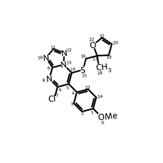 COc1ccc(-c2c(Cl)nc3ncnn3c2SCC2(C)CC=CO2)cc1